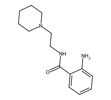 Nc1ccccc1C(=O)NCCN1CCCCC1